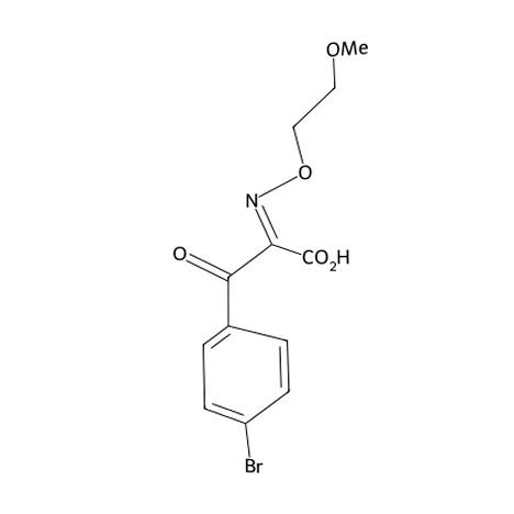 COCCO/N=C(\C(=O)O)C(=O)c1ccc(Br)cc1